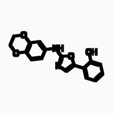 Oc1ccccc1-c1cnc(Nc2ccc3c(c2)OCCO3)o1